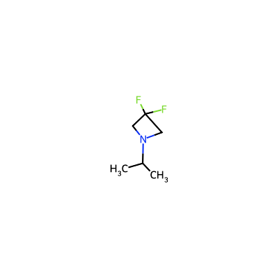 CC(C)N1CC(F)(F)C1